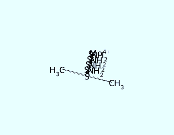 CCCCCCCCCCCCSCCCCCCCCCCCC.NC(=S)[S-].NC(=S)[S-].NC(=S)[S-].NC(=S)[S-].[Mo+4]